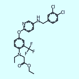 CCOC(=O)CN(CC)c1ccc(Oc2ccc(NCc3ccc(Cl)c(Cl)c3)cn2)cc1C(F)(F)F